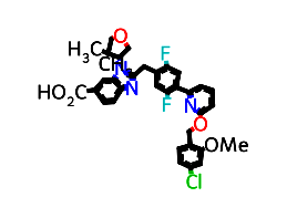 COc1cc(Cl)ccc1COc1cccc(-c2cc(F)c(Cc3nc4ccc(C(=O)O)cc4n3C3COCC3(C)C)cc2F)n1